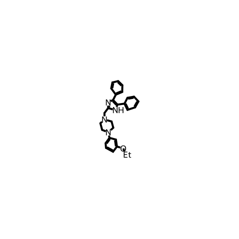 CCOc1cccc(N2CCN(Cc3nc(-c4ccccc4)c(-c4ccccc4)[nH]3)CC2)c1